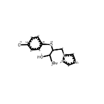 CC(C)(C)C(O)C(Cn1cncn1)Oc1ccc(Cl)cc1